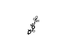 COCC(=O)NCCn1cnc2cc(C(=O)N3CC4(C)CC3CC(C)(C)C4)ccc21